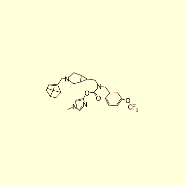 Cn1cnc(OC(=O)N(Cc2cccc(OC(F)(F)F)c2)CC2C3CN(CC4=CCC5CC4C5(C)C)CC32)c1